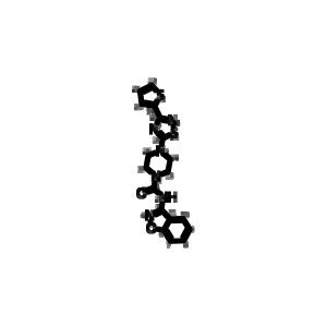 O=C(Nc1noc2ccccc12)N1CCN(c2nc(-c3cccs3)ns2)CC1